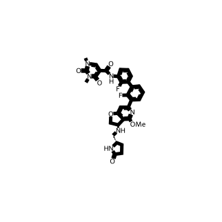 COc1nc(-c2cccc(-c3cccc(NC(=O)c4cn(C)c(=O)n(C)c4=O)c3F)c2F)cc2c1[C@@H](NC[C@@H]1CCC(=O)N1)CO2